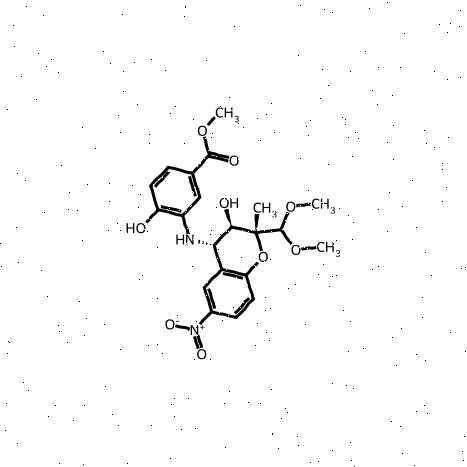 COC(=O)c1ccc(O)c(N[C@H]2c3cc([N+](=O)[O-])ccc3O[C@@](C)(C(OC)OC)[C@@H]2O)c1